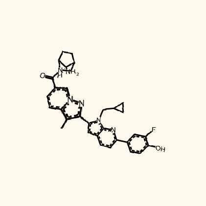 Cc1c(-c2cc3ccc(-c4ccc(O)c(F)c4)nc3n2CC2CC2)nn2cc(C(=O)N3CC4CCC3[C@@H]4N)ccc12